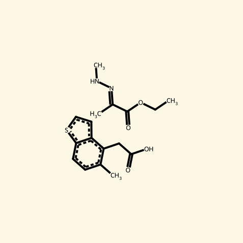 CCOC(=O)C(C)=NNC.Cc1ccc2sccc2c1CC(=O)O